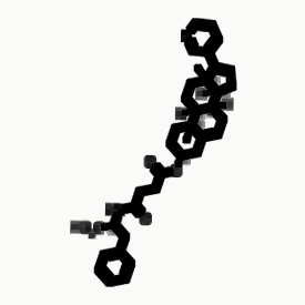 C[C@]12CC[C@H](OC(=O)CCC(=O)N[C@@H](Cc3ccccc3)C(=O)O)CC1=CC[C@@H]1[C@@H]2CC[C@]2(C)C(c3cccnc3)=CC[C@@H]12